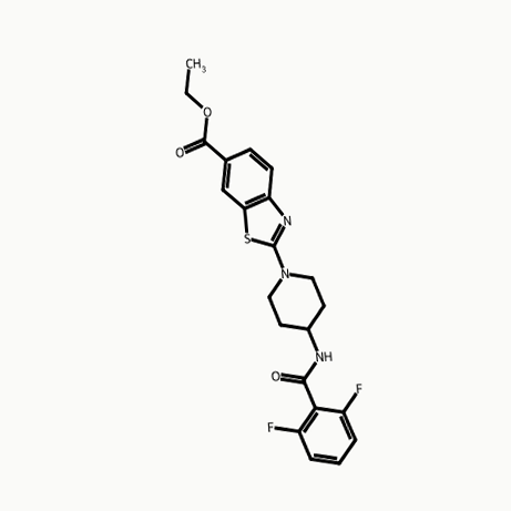 CCOC(=O)c1ccc2nc(N3CCC(NC(=O)c4c(F)cccc4F)CC3)sc2c1